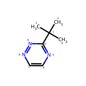 CC(C)(C)c1nc[c]nn1